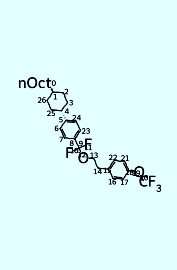 CCCCCCCC[C@H]1CC[C@H](c2ccc(C(F)(F)OCCc3ccc(OC(F)(F)F)cc3)cc2)CC1